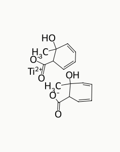 CC1(O)C=CC=CC1C(=O)[O-].CC1(O)C=CC=CC1C(=O)[O-].[Ti+2]